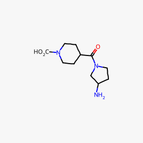 NC1CCN(C(=O)C2CCN(C(=O)O)CC2)C1